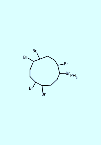 BrC1CCC(Br)C(Br)CCC(Br)C(Br)CCC1Br.P